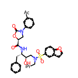 CC(=O)c1cccc(N2C[C@@H](C(=O)N[C@@H](Cc3ccccc3)[C@H](O)CN(CC(C)C)S(=O)(=O)c3ccc4occc4c3)OC2=O)c1